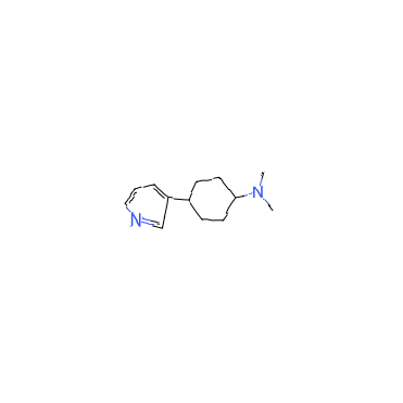 CN(C)C1CCC(c2cccnc2)CC1